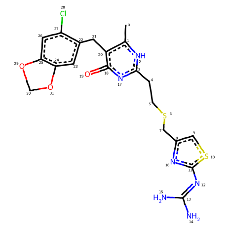 Cc1[nH]c(CCSCc2csc(N=C(N)N)n2)nc(=O)c1Cc1cc2c(cc1Cl)OCO2